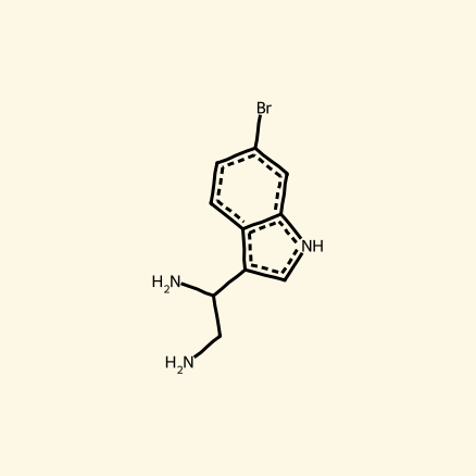 NCC(N)c1c[nH]c2cc(Br)ccc12